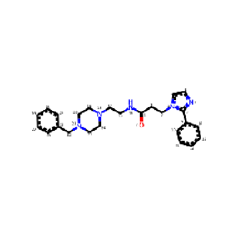 O=C(CCn1ccnc1-c1ccccc1)NCCN1CCN(Cc2ccccc2)CC1